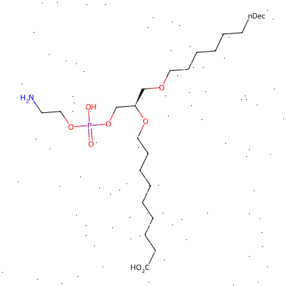 CCCCCCCCCCCCCCCCOC[C@H](COP(=O)(O)OCCN)OCCCCCCCCC(=O)O